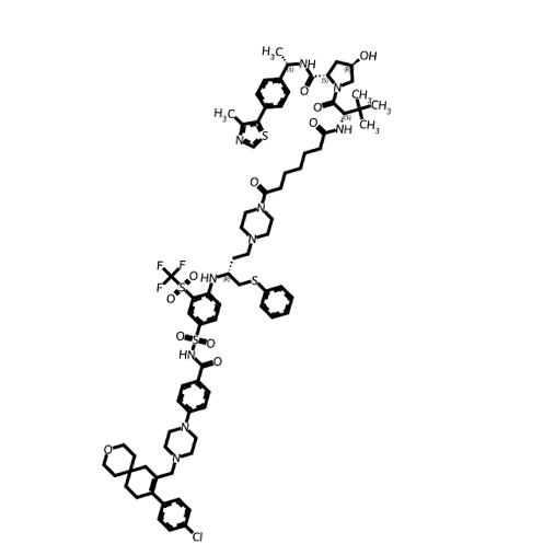 Cc1ncsc1-c1ccc([C@H](C)NC(=O)[C@@H]2C[C@@H](O)CN2C(=O)[C@@H](NC(=O)CCCCCC(=O)N2CCN(CC[C@H](CSc3ccccc3)Nc3ccc(S(=O)(=O)NC(=O)c4ccc(N5CCN(CC6=C(c7ccc(Cl)cc7)CCC7(CCOCC7)C6)CC5)cc4)cc3S(=O)(=O)C(F)(F)F)CC2)C(C)(C)C)cc1